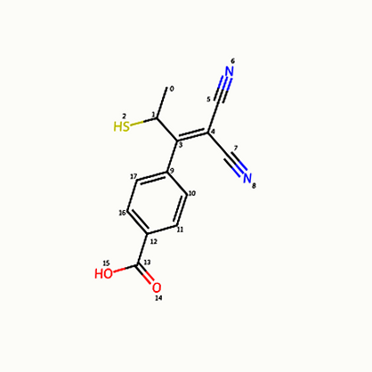 CC(S)C(=C(C#N)C#N)c1ccc(C(=O)O)cc1